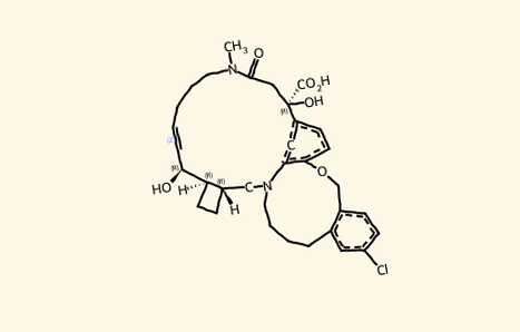 CN1CCC/C=C\[C@H](O)[C@@H]2CC[C@H]2CN2CCCCc3cc(Cl)ccc3COc3ccc(cc32)[C@@](O)(C(=O)O)CC1=O